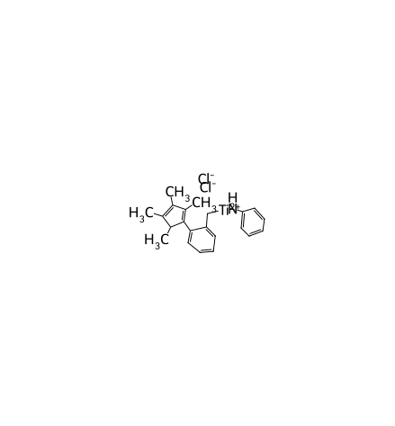 CC1=C(C)C(C)C(c2ccccc2[CH2][Ti+2][NH]c2ccccc2)=C1C.[Cl-].[Cl-]